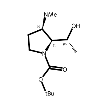 CN[C@@H]1CCN(C(=O)OC(C)(C)C)[C@@H]1[C@@H](C)O